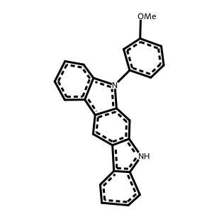 COc1cccc(-n2c3ccccc3c3cc4c(cc32)[nH]c2ccccc24)c1